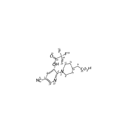 N#Cc1ccc(N2CCC(CC(=O)O)CC2)nc1.O=C(O)C(F)(F)F